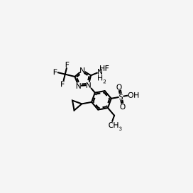 CCc1cc(C2CC2)c(-n2nc(C(F)(F)F)nc2N)cc1S(=O)(=O)O.F